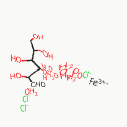 O.O.O.O.O.O.O=CC(O)C(O)C(O)C(O)CO.[Cl-].[Cl-].[Cl-].[Fe+3]